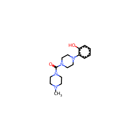 CN1CCN(C(=O)N2CCN(c3ccccc3O)CC2)CC1